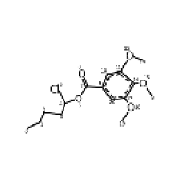 CCCCC(Cl)OC(=O)c1cc(OC)c(OC)c(OC)c1